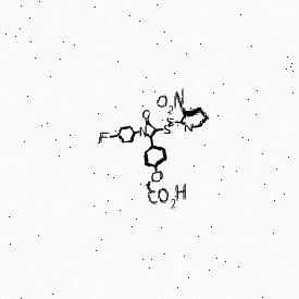 O=C(O)COc1ccc(C2C(SSc3ncccc3[N+](=O)[O-])C(=O)N2c2ccc(F)cc2)cc1